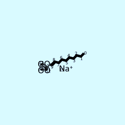 CCCCCCCCC=COS(=O)(=O)[O-].[Na+]